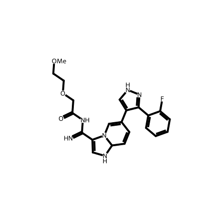 COCCOCC(=O)NC(=N)C1=CNC2C=CC(c3c[nH]nc3-c3ccccc3F)=CN12